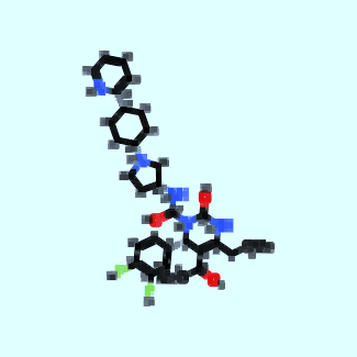 COCC1=C(C(=O)OC)[C@H](c2ccc(F)c(F)c2)N(C(=O)N[C@@H]2CCN([C@H]3CC[C@@H](c4ccccn4)CC3)C2)C(=O)N1